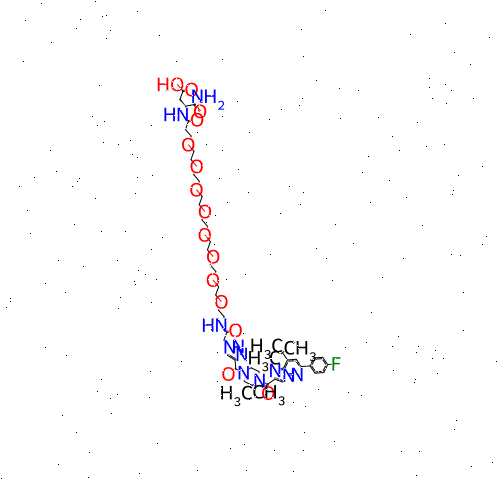 CC(C)(C)c1cc(-c2ccc(F)cc2)nn2cc(C(=O)N3CCN(C(=O)c4cn(CC(=O)NCCOCCOCCOCCOCCOCCOCCOCCOCCC(=O)N[C@@H](CC(=O)O)C(N)=O)nn4)CC3(C)C)nc12